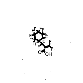 O=C(O)C(=C(F)F)C(F)(F)C1(F)C(F)(F)C(F)(F)C(F)(F)C(F)(F)C1(F)F